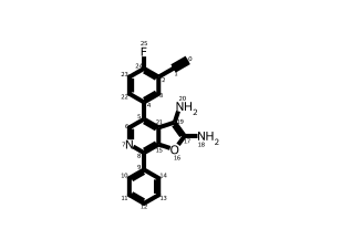 C#Cc1cc(-c2cnc(-c3ccccc3)c3oc(N)c(N)c23)ccc1F